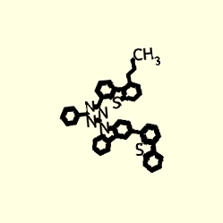 CCCCc1cccc2sc3c(-c4nc(-c5ccccc5)nc(-n5c6ccccc6c6cc(-c7cccc8c7sc7ccccc78)ccc65)n4)cccc3c12